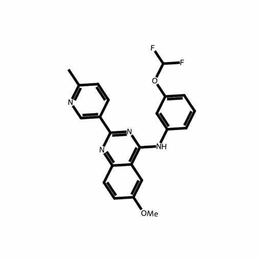 COc1ccc2nc(-c3ccc(C)nc3)nc(Nc3cccc(OC(F)F)c3)c2c1